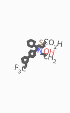 C=C(O)Cn1c(-c2ccc(-c3cccc(CC(F)(F)F)c3)cc2)c(C2CCCCC2)c2sc(C(=O)O)cc21